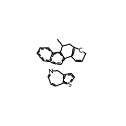 C1=Cc2sccc2CN=C1.CC1CC2=C(C=CCC2)c2ccc3ccccc3c21